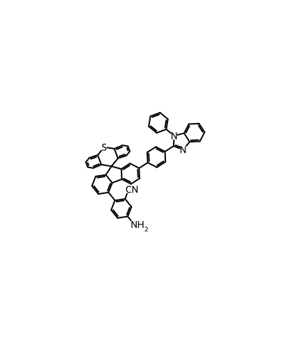 N#Cc1cc(N)ccc1-c1cccc2c1-c1ccc(-c3ccc(-c4nc5ccccc5n4-c4ccccc4)cc3)cc1C21c2ccccc2Sc2ccccc21